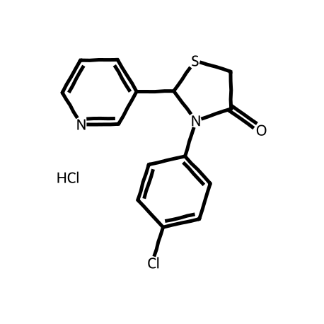 Cl.O=C1CSC(c2cccnc2)N1c1ccc(Cl)cc1